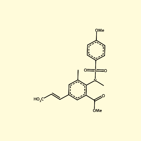 COC(=O)c1cc(C=CC(=O)O)cc(C)c1N(C)S(=O)(=O)c1ccc(OC)cc1